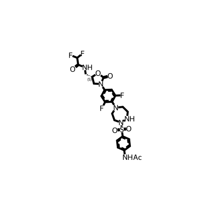 CC(=O)Nc1ccc(S(=O)(=O)N2CCN(c3c(F)cc(N4C[C@H](CNC(=O)C(F)F)OC4=O)cc3F)CCN2)cc1